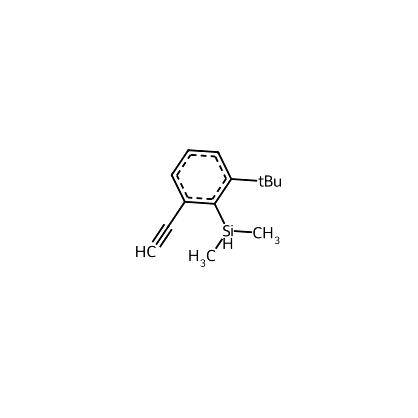 C#Cc1cccc(C(C)(C)C)c1[SiH](C)C